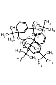 CC(C)(C)C1=CC(OP(OC2(C(C)(C)C)C=C(C(C)(C)C)C=CC2)OC2(C(C)(C)C)C=C(C(C)(C)C)C=CC2)(C(C)(C)C)CC=C1